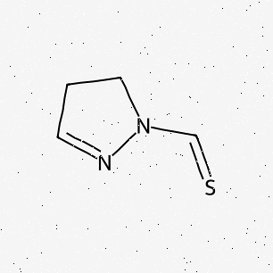 S=CN1CCC=N1